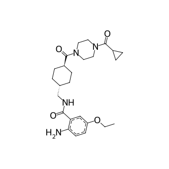 CCOc1ccc(N)c(C(=O)NC[C@H]2CC[C@H](C(=O)N3CCN(C(=O)C4CC4)CC3)CC2)c1